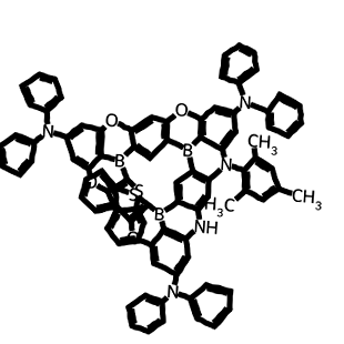 Cc1cc(C)c(N2c3cc4c(cc3B3c5cc6c(cc5Oc5cc(N(c7ccccc7)c7ccccc7)cc2c53)Oc2cc(N(c3ccccc3)c3ccccc3)cc3c2B6c2sc5ccccc5c2O3)B2c3sc5ccccc5c3Oc3cc(N(c5ccccc5)c5ccccc5)cc(c32)N4)c(C)c1